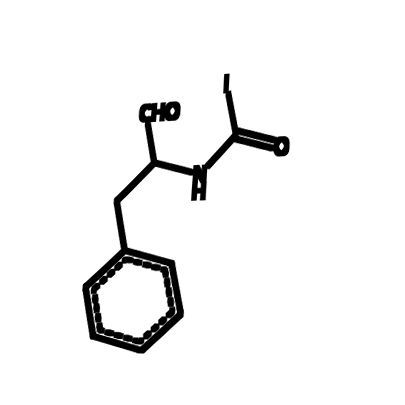 O=CC(Cc1ccccc1)NC(=O)I